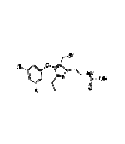 CCc1nn(CCNC(=O)O)c(CBr)c1Oc1cc(Cl)cc(Cl)c1